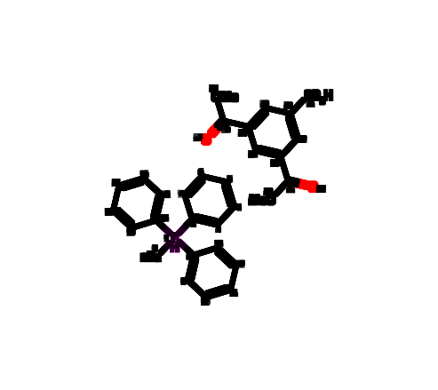 CCCC[PH](c1ccccc1)(c1ccccc1)c1ccccc1.COC(=O)c1cc(C(=O)OC)cc(S(=O)(=O)O)c1